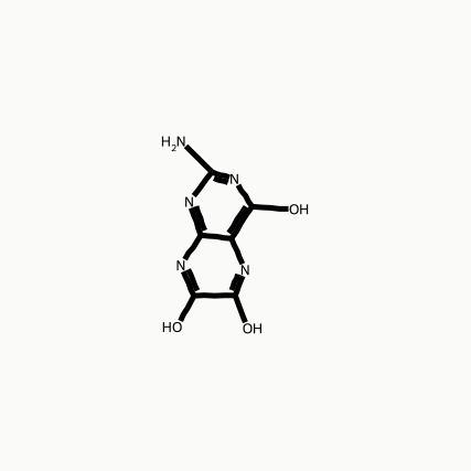 Nc1nc(O)c2nc(O)c(O)nc2n1